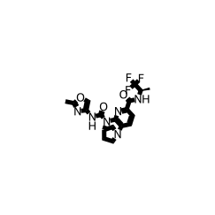 Cc1nc(NC(=O)N2c3nc(C(=O)N[C@H](C)C(F)(F)F)ccc3N3CCC2C3)co1